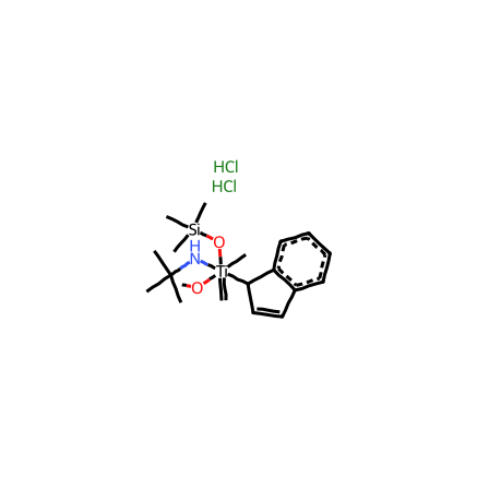 Cl.Cl.[CH2]=[Ti]([CH3])([NH]C(C)(C)C)([O]C)([O][Si](C)(C)C)[CH]1C=Cc2ccccc21